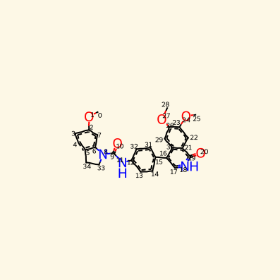 COc1ccc2c(c1)N(C(=O)Nc1ccc(-c3c[nH]c(=O)c4cc(OC)c(OC)cc34)cc1)CC2